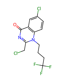 O=c1nc(CCl)n(CCCC(F)(F)F)c2ccc(Cl)cc12